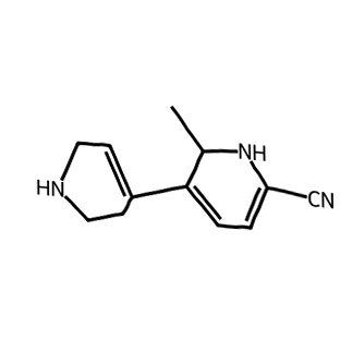 CC1NC(C#N)=CC=C1C1=CCNCC1